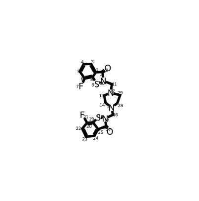 O=c1c2cccc(F)c2sn1CN1CCN(Cn2sc3c(F)cccc3c2=O)CC1